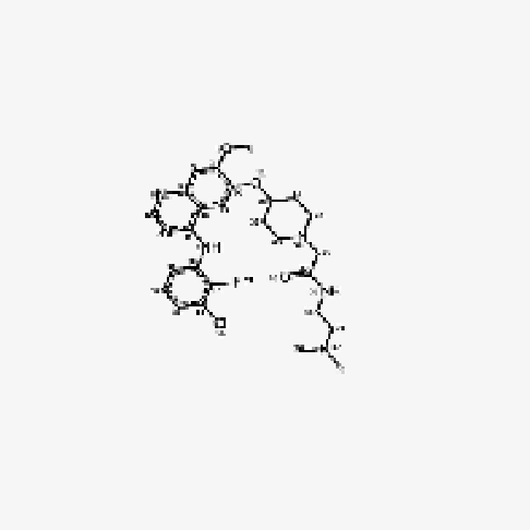 COc1cc2ncnc(Nc3cccc(Cl)c3F)c2cc1OC1CCN(CC(=O)NCCN(C)C)CC1